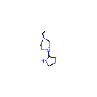 CCN1CCN(C2CCCN2)CC1